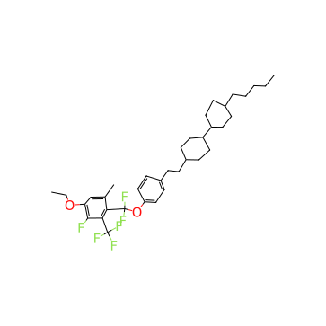 CCCCCC1CCC(C2CCC(CCc3ccc(OC(F)(F)c4c(C)cc(OCC)c(F)c4C(F)(F)F)cc3)CC2)CC1